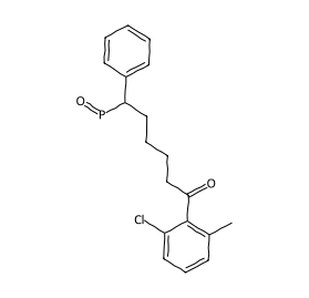 Cc1cccc(Cl)c1C(=O)CCCCC(P=O)c1ccccc1